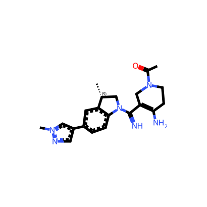 CC(=O)N1CCC(N)=C(C(=N)N2C[C@@H](C)c3cc(-c4cnn(C)c4)ccc32)C1